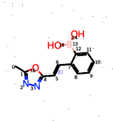 Cc1nnc(/C=C/c2ccccc2B(O)O)o1